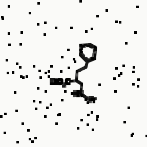 CCOC(=O)C(CCc1ccccc1)CNC(C)C